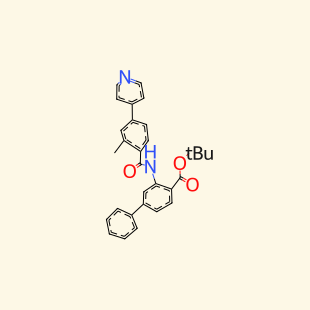 Cc1cc(-c2ccncc2)ccc1C(=O)Nc1cc(-c2ccccc2)ccc1C(=O)OC(C)(C)C